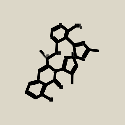 Cc1noc(-c2c(N)ncnc2N[C@@H](C)c2cc3cccc(Cl)c3c(=O)n2-c2n[nH]cc2C)n1